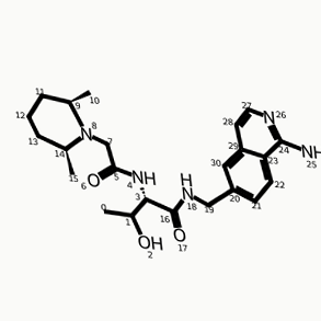 CC(O)[C@H](NC(=O)CN1[C@H](C)CCC[C@@H]1C)C(=O)NCc1ccc2c(N)nccc2c1